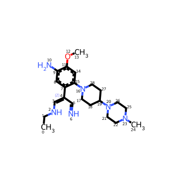 CCN/C=C(\C=N)c1cc(N)c(OC)cc1N1CCC(N2CCN(C)CC2)CC1